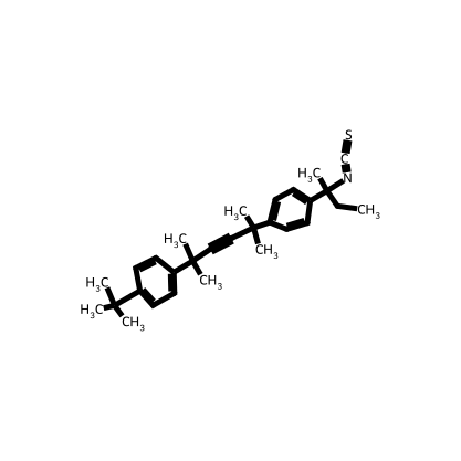 CCC(C)(N=C=S)c1ccc(C(C)(C)C#CC(C)(C)c2ccc(C(C)(C)C)cc2)cc1